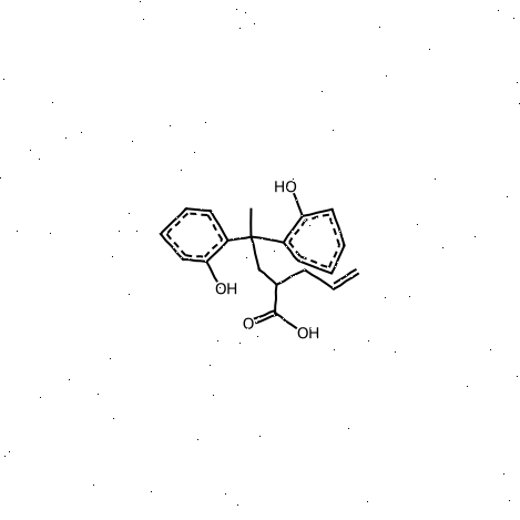 C=CCC(CC(C)(c1ccccc1O)c1ccccc1O)C(=O)O